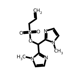 C=CCS(=O)(=O)OC(c1nccn1C)c1nccn1C